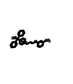 O=[N+]([O-])c1cccc(OCCC[N+]23CCC(C(O)(c4ccccc4)c4ccccc4)(CC2)CC3)c1